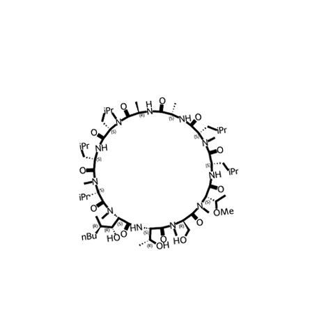 CCCC[C@@H](C)[C@@H](O)[C@H]1C(=O)N[C@@H]([C@@H](C)O)C(=O)N(C)[C@H](CO)C(=O)N(C)[C@@H](C(C)OC)C(=O)N[C@@H](CC(C)C)C(=O)N(C)[C@@H](CC(C)C)C(=O)N[C@@H](C)C(=O)N[C@H](C)C(=O)N(C)[C@@H](CC(C)C)C(=O)N[C@@H](CC(C)C)C(=O)N(C)[C@@H](C(C)C)C(=O)N1C